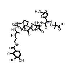 CC(C)(O/N=C(\C(=O)N[C@@H]1C(=O)N2C[C@@](C(=O)O)(N3CCN(NS(=O)(=O)NC(=O)NCCNC(=O)c4ccc(O)c(O)c4Cl)C3=O)S[C@H]12)c1csc(N)n1)C(=O)O